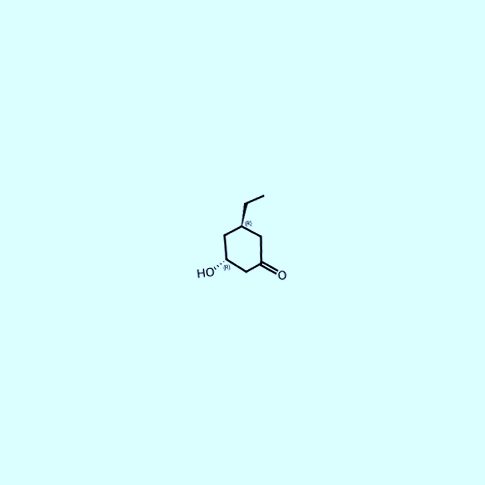 CC[C@H]1CC(=O)C[C@H](O)C1